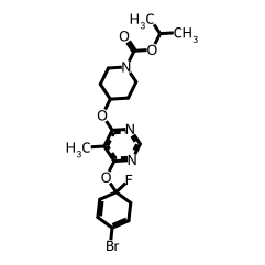 Cc1c(OC2CCN(C(=O)OC(C)C)CC2)ncnc1OC1(F)C=CC(Br)=CC1